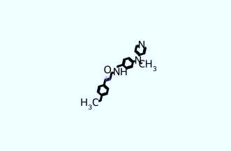 CCc1ccc(/C=C/C(=O)NCc2ccc(N(C)c3ccncc3)cc2)cc1